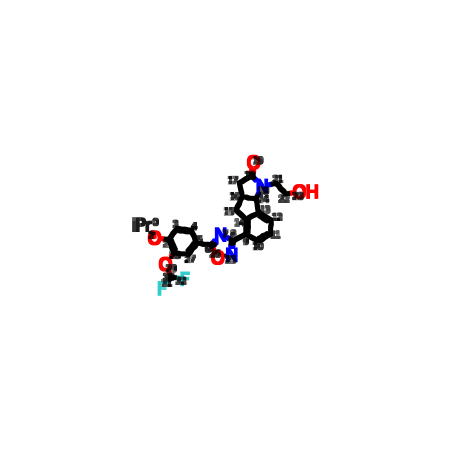 CC(C)Oc1ccc(-c2nc(-c3cccc4c3CC3CC(=O)N(CCO)C43)no2)cc1OC(F)F